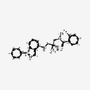 CCN(CC(O)(CNc1cccc2c1cnn2-c1ccccc1)C(F)(F)F)C(=O)c1ccccc1F